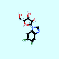 OC[C@H]1O[C@@H](n2cnc3cc(Cl)c(Cl)cc32)C(O)C1O